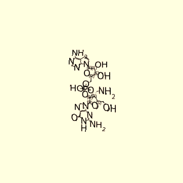 NC[C@H]1[C@@H](OP(=O)(O)OC[C@H]2O[C@@H](n3ccc4c(N)ncnc43)[C@H](O)[C@@H]2O)[C@H](n2cnc3c(=O)[nH]c(N)nc32)O[C@@H]1CO